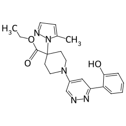 CCOC(=O)C1(n2nccc2C)CCN(c2cnnc(-c3ccccc3O)c2)CC1